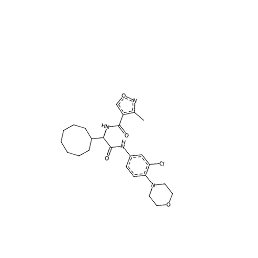 Cc1nocc1C(=O)NC(C(=O)Nc1ccc(N2CCOCC2)c(Cl)c1)C1CCCCCCC1